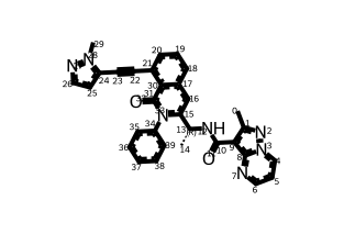 Cc1nn2cccnc2c1C(=O)N[C@H](C)c1cc2cccc(C#Cc3ccnn3C)c2c(=O)n1-c1ccccc1